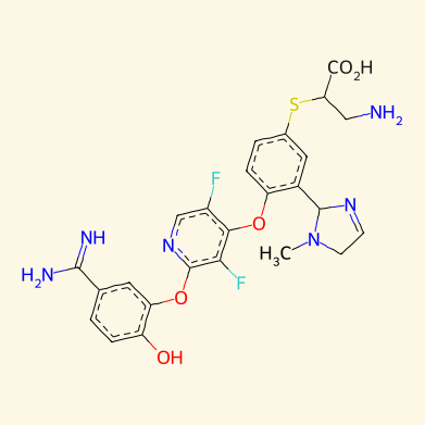 CN1CC=NC1c1cc(SC(CN)C(=O)O)ccc1Oc1c(F)cnc(Oc2cc(C(=N)N)ccc2O)c1F